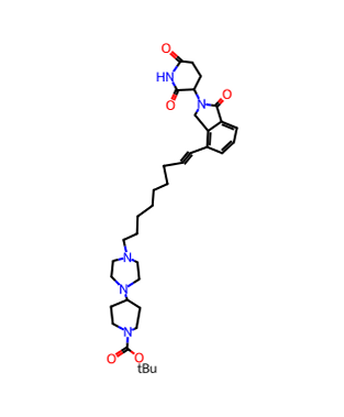 CC(C)(C)OC(=O)N1CCC(N2CCN(CCCCCCCC#Cc3cccc4c3CN(C3CCC(=O)NC3=O)C4=O)CC2)CC1